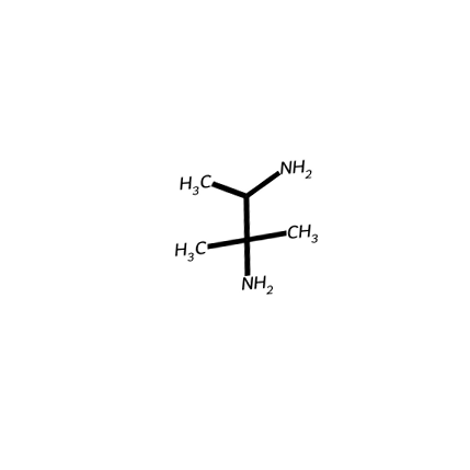 CC(N)C(C)(C)N